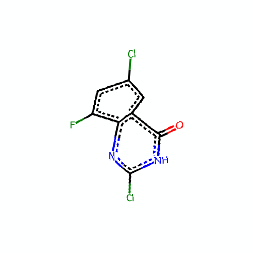 O=c1[nH]c(Cl)nc2c(F)cc(Cl)cc12